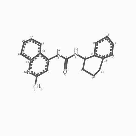 Cc1cc(NC(=O)NC2CCCc3ccccc32)c2ccccc2n1